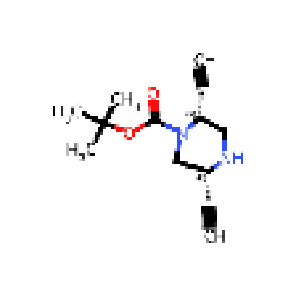 C#C[C@@H]1CN(C(=O)OC(C)(C)C)[C@H](C#C)CN1